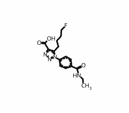 CCNC(=O)c1ccc(-n2nnc(C(=O)O)c2CCCCF)cc1